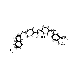 O=CC(OC1CCC(Nc2ccc([N+](=O)[O-])c(C(F)(F)F)c2)CC1)N1CCN(Cc2ccc3cc(C(F)(F)F)ccc3n2)CC1